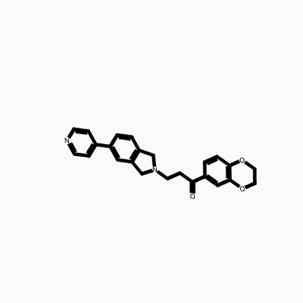 O=C(CCN1Cc2ccc(-c3ccncc3)cc2C1)c1ccc2c(c1)OCCO2